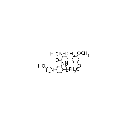 CNc1c(C)c(-c2cc(OC)cc(OC)c2)nn(-c2cc(N3CC[C@H](O)C3)ccc2C(F)(F)F)c1=O